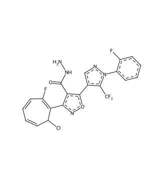 NNC(=O)c1c(C2=C(F)C=CC=CC2Cl)noc1-c1cnn(-c2ccccc2F)c1C(F)(F)F